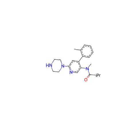 Cc1ccccc1-c1cc(N2CCNCC2)ncc1N(C)C(=O)C(C)C